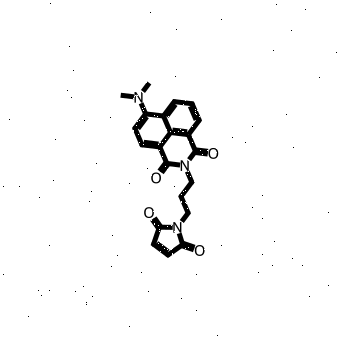 CN(C)c1ccc2c3c(cccc13)C(=O)N(CCCN1C(=O)C=CC1=O)C2=O